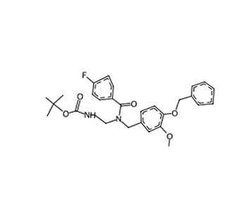 COc1cc(CN(CCNC(=O)OC(C)(C)C)C(=O)c2ccc(F)cc2)ccc1OCc1ccccc1